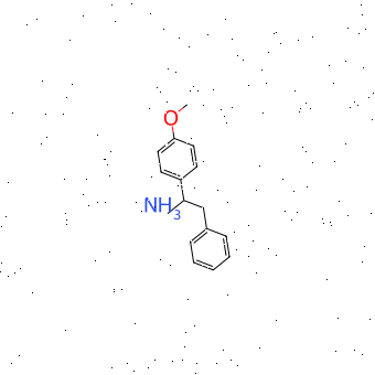 COc1ccc(C(C)Cc2ccccc2)cc1.N